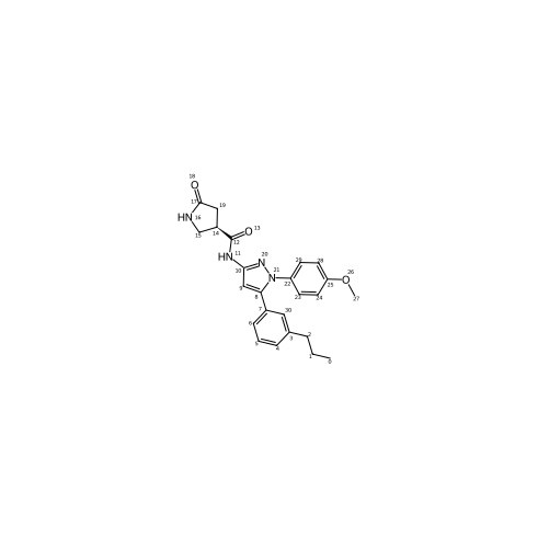 CCCc1cccc(-c2cc(NC(=O)[C@H]3CNC(=O)C3)nn2-c2ccc(OC)cc2)c1